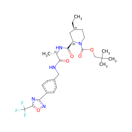 CC[C@H]1CCN(C(=O)OCC(C)(C)C)[C@@H](C(=O)N[C@@H](C)C(=O)NCc2ccc(-c3noc(C(F)(F)F)n3)cc2)C1